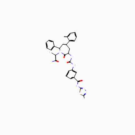 Cc1ccccc1C1CC(NC(=O)Nc2cccc(C(=O)Nc3nnc(C(F)(F)F)s3)c2)C(=O)N(C(C(N)=O)C(C)(C)C)C(c2ccccc2)C1